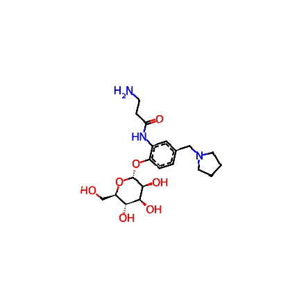 NCCC(=O)Nc1cc(CN2CCCC2)ccc1O[C@H]1O[C@H](CO)[C@@H](O)[C@H](O)[C@@H]1O